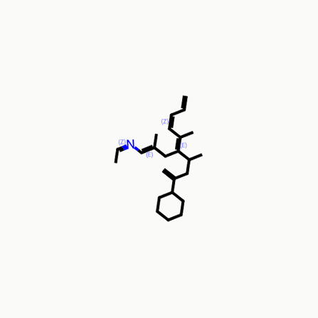 C=C/C=C\C(C)=C(/C/C(C)=C/N=C\C)C(C)CC(=C)C1CCCCC1